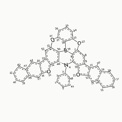 c1ccc(N2c3c4c(cc5c3oc3cc6ccccc6cc35)Oc3cccc5c3B4c3c(cc4c(oc6cc7ccccc7cc64)c32)O5)cc1